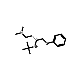 CN(C)CC[C@H](CSc1ccccc1)NC(C)(C)C